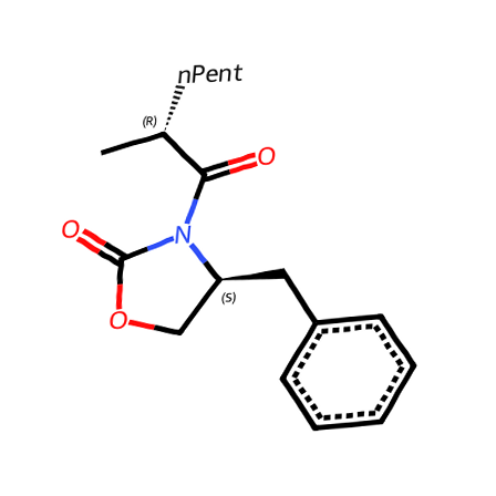 CCCCC[C@@H](C)C(=O)N1C(=O)OC[C@@H]1Cc1ccccc1